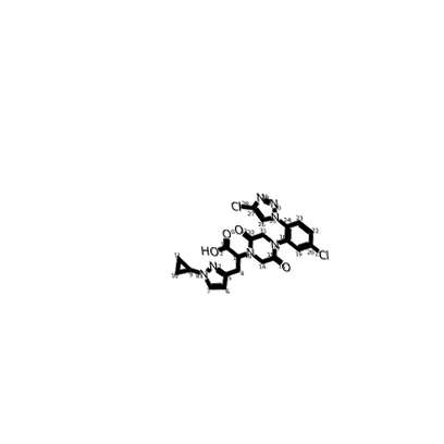 O=C(O)C(Cc1ccn(C2CC2)n1)N1CC(=O)N(c2cc(Cl)ccc2-n2cc(Cl)nn2)CC1=O